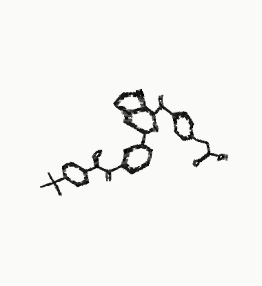 CC(C)(C)c1ccc(C(=O)Nc2cccc(-c3cn4ccnc4c(Nc4ccc(CC(=O)O)cc4)n3)c2)cc1